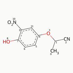 CC(C#N)Oc1ccc(O)c([N+](=O)[O-])c1